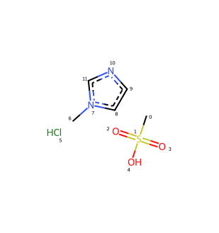 CS(=O)(=O)O.Cl.Cn1ccnc1